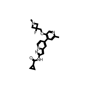 Cc1cc(-c2ccn3nc(NC(=O)C4CC4)cc3c2)c(OCC2(F)CN(C)C2)cn1